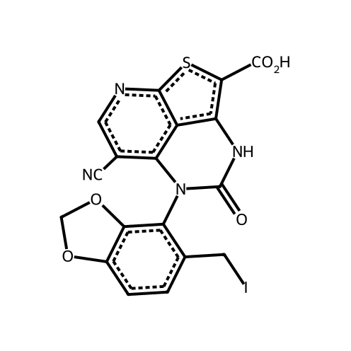 N#Cc1cnc2sc(C(=O)O)c3c2c1N(c1c(CI)ccc2c1OCO2)C(=O)N3